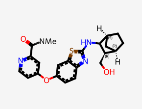 CNC(=O)c1cc(Oc2ccc3nc(NC4[C@H]5CC[C@H](C5)[C@H]4CO)sc3c2)ccn1